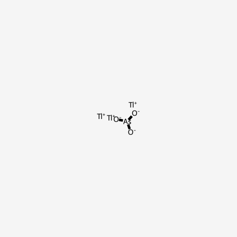 [O-][As]([O-])[O-].[Tl+].[Tl+].[Tl+]